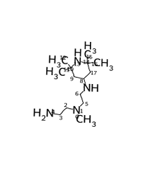 CN(CCN)CCNC1CC(C)(C)NC(C)(C)C1